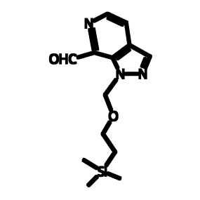 C[Si](C)(C)CCOCn1ncc2ccnc(C=O)c21